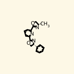 C[C@H]1COC(c2cccc(C3=N[C@H](c4ccccc4)CO3)n2)=N1